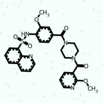 COc1cc(C(=O)N2CCN(C(=O)c3cccnc3OC)CC2)ccc1NS(=O)(=O)c1cccc2cccnc12